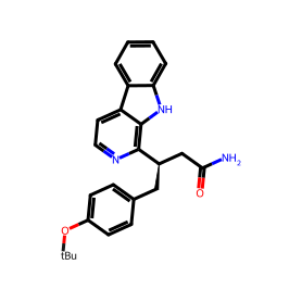 CC(C)(C)Oc1ccc(C[C@H](CC(N)=O)c2nccc3c2[nH]c2ccccc23)cc1